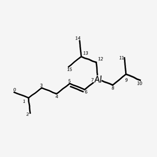 CC(C)CC/C=[CH]/[Al]([CH2]C(C)C)[CH2]C(C)C